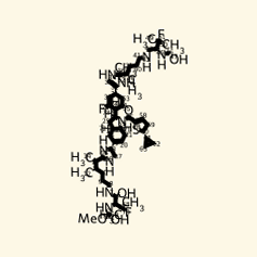 CO[C@@H](O)NC([C@@H](O)NCCC[C@H](C)C(C)C1NC[C@@H](C2=CC[C@H]3[C@@H](C2)C[C@H]2[C@H]4C(F)=C[C@@H](C5=CNC(C)([C@@H](C)CCCNCC(NCO)C(C)(C)F)N5)CC4OC(C4=CC[C@H](C5CC5)S4)N32)N1)C(C)(C)F